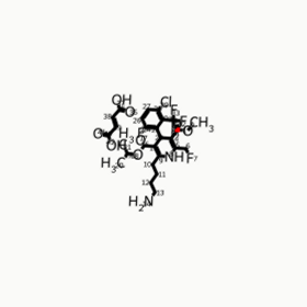 COC(=O)C1=C(CF)NC(CCCCN)=C(C(=O)OC(C)C)C1c1c(F)ccc(Cl)c1C(F)(F)F.O=C(O)C=CC(=O)O